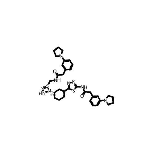 O=C(Cc1cccc(N2CCCC2)c1)NCS1=NNN1[C@H]1CCCC(c2nnc(NC(=O)Cc3cccc(N4CCCC4)c3)s2)C1